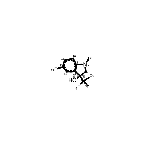 O[C@]1(C(F)(F)F)CN(I)c2ccc(F)cc21